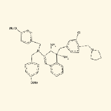 COc1ccc(CN(Cc2ccc(OC)cc2)C2=Nc3ccccc3C(N)(Cc3ccc(CN4CCCC4)c(Cl)c3)C2N)cc1